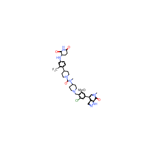 COc1cc(-c2cn(C)c(=O)c3[nH]ncc23)cc(Cl)c1CN1CCC(N(C)C(=O)N2CCC(c3ccc(NC4CCC(=O)NC4=O)cc3C(F)(F)F)CC2)CC1